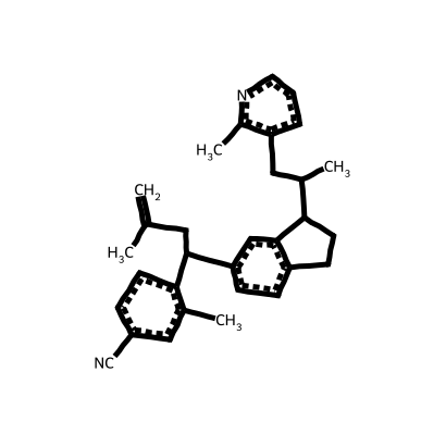 C=C(C)CC(c1ccc2c(c1)C(C(C)Cc1cccnc1C)CC2)c1ccc(C#N)cc1C